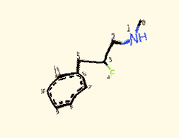 CNCC(F)Cc1ccccc1